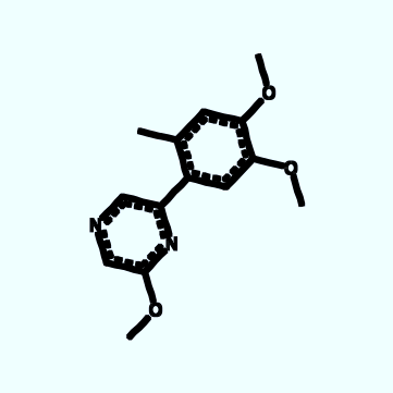 COc1cncc(-c2cc(OC)c(OC)cc2C)n1